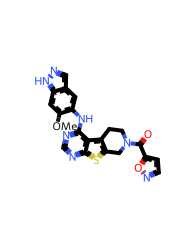 COc1cc2[nH]ncc2cc1Nc1ncnc2sc3c(c12)CCN(C(=O)c1ccno1)C3